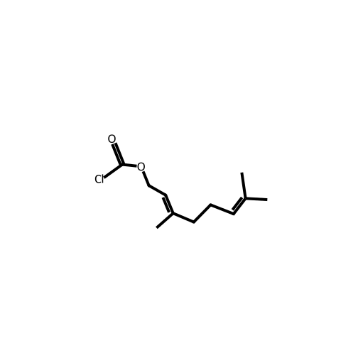 CC(C)=CCCC(C)=CCOC(=O)Cl